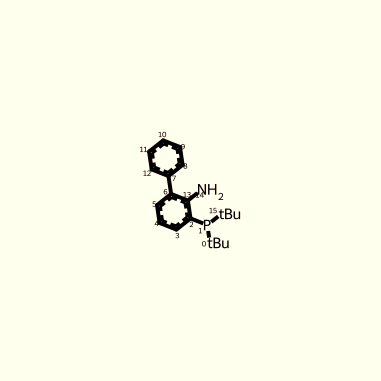 CC(C)(C)P(c1cccc(-c2ccccc2)c1N)C(C)(C)C